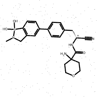 CN1Cc2cc(-c3ccc(C[C@H](C#N)NC(=O)C4(N)CCOCC4)cc3)ccc2S1(O)O